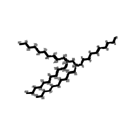 CCCCCCCCCCP(CCCCCCCCCC)CP(CCCCCCCCCC)CCCCCCCCCC